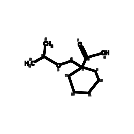 CC(C)OCC1(C(=O)O)CCCCC1